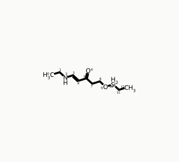 CCNC=CC(=O)CCO[SiH2]CC